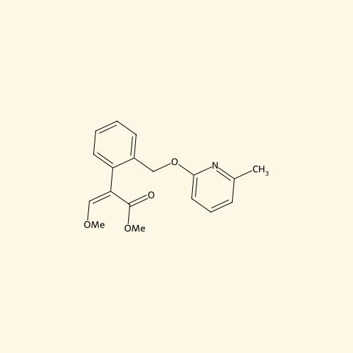 COC=C(C(=O)OC)c1ccccc1COc1cccc(C)n1